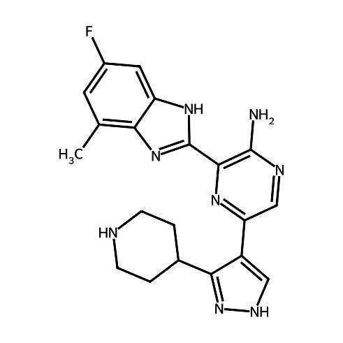 Cc1cc(F)cc2[nH]c(-c3nc(-c4c[nH]nc4C4CCNCC4)cnc3N)nc12